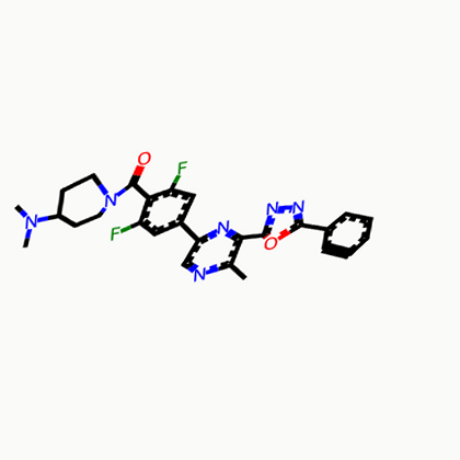 Cc1ncc(-c2cc(F)c(C(=O)N3CCC(N(C)C)CC3)c(F)c2)nc1-c1nnc(-c2c#cccc2)o1